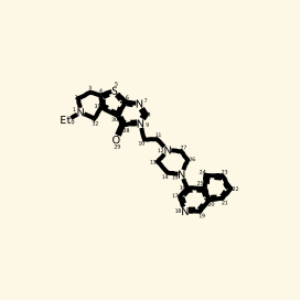 CCN1CCc2sc3ncn(CCN4CCN(c5cncc6ccccc56)CC4)c(=O)c3c2C1